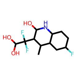 CC1C2CC(F)CCC2NC(O)C1C(F)(F)C(O)O